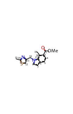 COC(=O)c1ccc2ccn(Cc3csc(C)n3)c2c1C